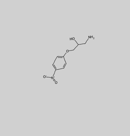 NCC(O)COc1ccc([N+](=O)[O-])cc1